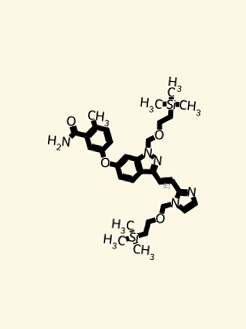 Cc1ccc(Oc2ccc3c(/C=C/c4nccn4COCC[Si](C)(C)C)nn(COCC[Si](C)(C)C)c3c2)cc1C(N)=O